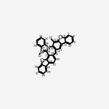 Cc1cc2c(oc3ccccc32)c(C)c1-n1c(-c2c(C)ccc3c2oc2ccccc23)[n+](C)c2ccccc21